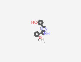 COc1ccccc1-c1c[nH]c2ncc(-c3cccc(O)c3)nc12